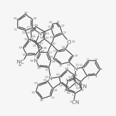 N#Cc1ccc2c(c1)c1ccccc1n2-c1ccc2c(c1)Oc1cccc(-n3c4ccccc4c4cc(C#N)ccc43)c1C21c2cccnc2-c2ncc(-n3c4ccccc4c4cc(C#N)ccc43)cc21